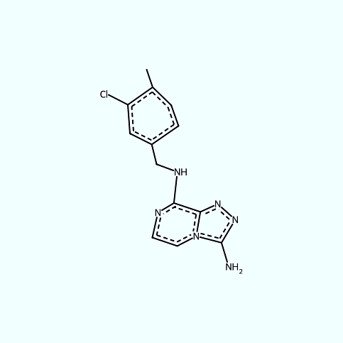 Cc1ccc(CNc2nccn3c(N)nnc23)cc1Cl